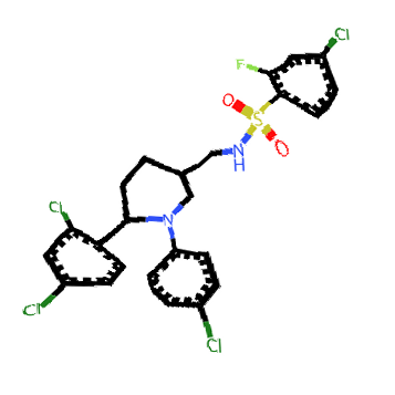 O=S(=O)(NCC1CCC(c2ccc(Cl)cc2Cl)N(c2ccc(Cl)cc2)C1)c1ccc(Cl)cc1F